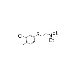 CCN(CC)CCSc1ccc(C)c(Cl)c1